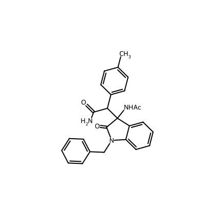 CC(=O)NC1(C(C(N)=O)c2ccc(C)cc2)C(=O)N(Cc2ccccc2)c2ccccc21